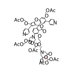 CC(=O)OCOC(=O)CN(CCOCCOc1c(N(CC(=O)OCOC(C)=O)CC(=O)OCOC(C)=O)ccc2c1C(=O)OC21c2cc(-c3ccncc3)c(OCOC(C)=O)cc2Oc2cc(OCOC(C)=O)c(-c3ccncc3)cc21)CC(=O)OCOC(C)=O